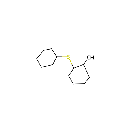 CC1CCCCC1SC1CCCCC1